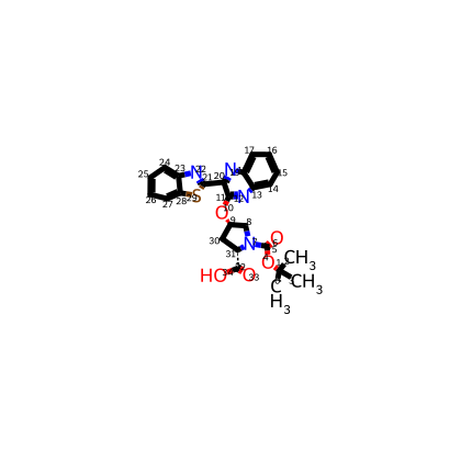 CC(C)(C)OC(=O)N1C[C@H](Oc2nc3ccccc3nc2-c2nc3ccccc3s2)C[C@H]1C(=O)O